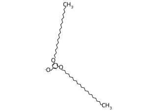 CCCCCCCCCCCCCCCCCCCCCCOc1cc(C[O])cc(OCCCCCCCCCCCCCCCCCCCCCC)c1